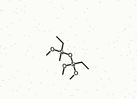 CC[Si](C)(OC)O[Si](CC)(OC)OC